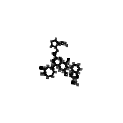 CN1CCCC1COc1nc(N2CCCNC(=O)C2)c2cc(Cl)c(-c3cccc4sc(N)nc34)c(F)c2n1